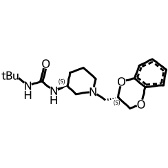 CC(C)(C)NC(=O)N[C@H]1CCCN(C[C@H]2COc3ccccc3O2)C1